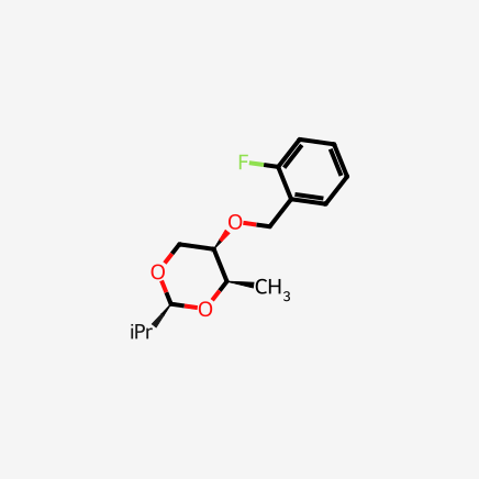 CC(C)[C@H]1OC[C@@H](OCc2ccccc2F)[C@@H](C)O1